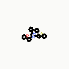 c1ccc(-c2ccccc2-c2cc(-c3cccc4c3oc3ccccc34)nc(-c3ccc4c(c3)sc3ccccc34)n2)cc1